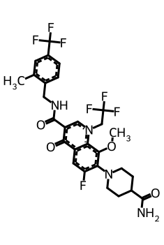 COc1c(N2CCC(C(N)=O)CC2)c(F)cc2c(=O)c(C(=O)NCc3ccc(C(F)(F)F)cc3C)cn(CC(F)(F)F)c12